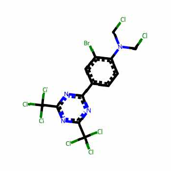 ClCN(CCl)c1ccc(-c2nc(C(Cl)(Cl)Cl)nc(C(Cl)(Cl)Cl)n2)cc1Br